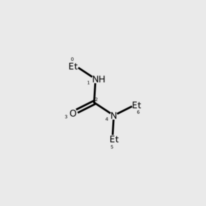 CCNC(=O)N(CC)CC